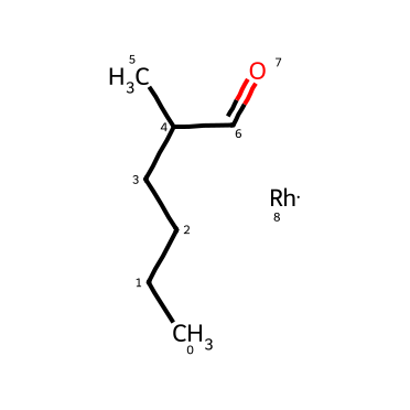 CCCCC(C)C=O.[Rh]